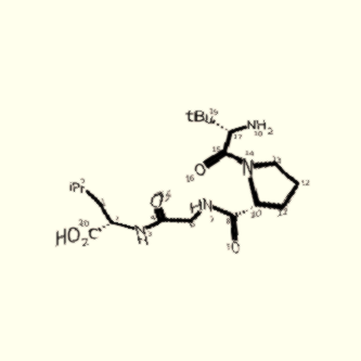 CC(C)C[C@H](NC(=O)CNC(=O)[C@H]1CCCN1C(=O)[C@@H](N)C(C)(C)C)C(=O)O